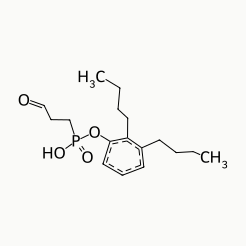 CCCCc1cccc(OP(=O)(O)CCC=O)c1CCCC